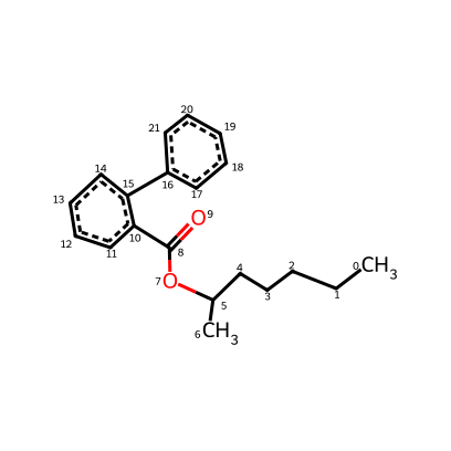 CCCCCC(C)OC(=O)c1ccccc1-c1ccccc1